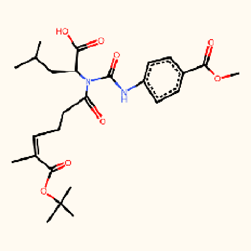 COC(=O)c1ccc(NC(=O)N(C(=O)CCC=C(C)C(=O)OC(C)(C)C)[C@@H](CC(C)C)C(=O)O)cc1